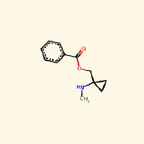 CNC1(COC(=O)c2ccccc2)CC1